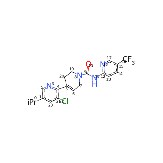 CC(C)c1cnc(C2=CCN(C(=O)Nc3ccc(C(F)(F)F)cn3)CC2)c(Cl)c1